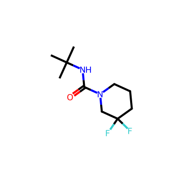 CC(C)(C)NC(=O)N1CCCC(F)(F)C1